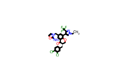 CCn1cc(-c2cc(Cn3ccoc3=N)cc3c2OC[C@H](Cc2ccc(Cl)c(Cl)c2)C3=O)c(C(F)(F)F)n1